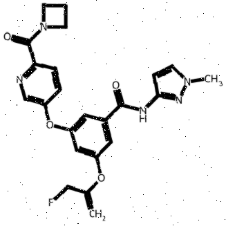 C=C(CF)Oc1cc(Oc2ccc(C(=O)N3CCC3)nc2)cc(C(=O)Nc2ccn(C)n2)c1